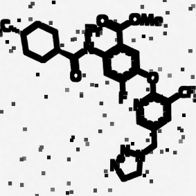 COC(=O)c1cc(Oc2ncc(CN3CCN=N3)cc2C(F)(F)F)c(F)cc1N(C(=O)[C@H]1CC[C@H](C)CC1)C(C)C